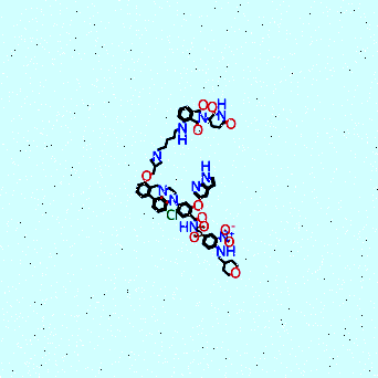 O=C1CCC(N2C(=O)c3cccc(NCCCCCN4CC(COc5cccc(-c6ccc(Cl)cc6)c5CN5CCN(c6ccc(C(=O)NS(=O)(=O)c7ccc(NCC8CCOCC8)c([N+](=O)[O-])c7)c(Oc7cnc8[nH]ccc8c7)c6)CC5)C4)c3C2=O)C(=O)N1